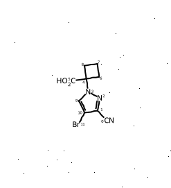 N#Cc1nn(C2(C(=O)O)CCC2)cc1Br